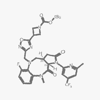 Cc1cc(C(F)(F)F)cc(N2C(=O)C[C@@H]3CN(Cc4noc(C5CN(C(=O)OC(C)(C)C)C5)n4)c4c(F)cccc4N(C)C(=O)[C@H]32)n1